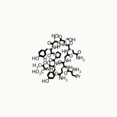 CC(C)C[C@H](N)C(=O)N[C@@H](CCC(N)=O)C(=O)NCC(=O)N[C@@H](CCC(N)=O)C(=O)N[C@@H](CO)C(=O)N[C@@H](CO)C(=O)N[C@@H](Cc1ccc(O)cc1)C(=O)N1CCC[C@H]1C(=O)N[C@@H](Cc1ccc(O)cc1)C(=O)N[C@H](C(=O)O)[C@@H](C)O